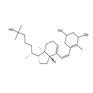 CC1=C(/C=C\C2=CCC[C@]3(C)[C@@H]([C@H](C)CCCC(C)(C)O)CC[C@@H]23)CC(O)CC1O